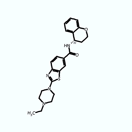 CCN1CCN(c2nc3ccc(C(=O)N[C@H]4CCOc5ccccc54)cc3s2)CC1